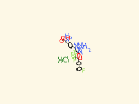 Cl.Nc1nc(OC(c2ccc(-c3cccc(F)c3)cc2)C(F)(F)F)cc(-c2ccc(C[C@H](N)C(=O)O)cc2)n1